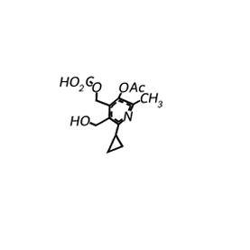 CC(=O)Oc1c(C)nc(C2CC2)c(CO)c1COC(=O)O